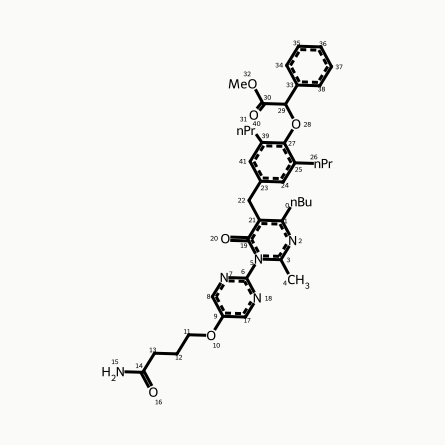 CCCCc1nc(C)n(-c2ncc(OCCCC(N)=O)cn2)c(=O)c1Cc1cc(CCC)c(OC(C(=O)OC)c2ccccc2)c(CCC)c1